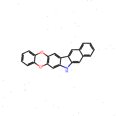 c1ccc2c(c1)Oc1cc3[nH]c4cc5ccccc5cc4c3cc1O2